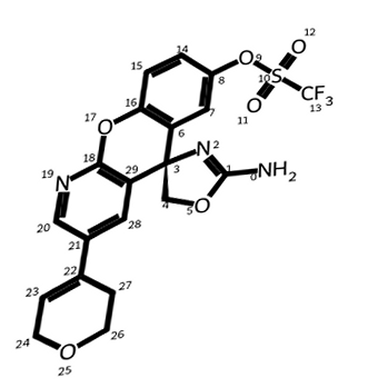 NC1=N[C@@]2(CO1)c1cc(OS(=O)(=O)C(F)(F)F)ccc1Oc1ncc(C3=CCOCC3)cc12